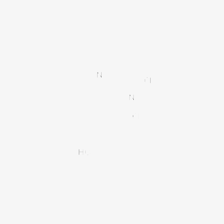 CN(C)C1=C(CO)CCC=N1